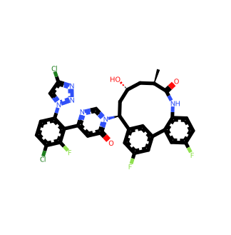 C[C@@H]1C[C@@H](O)C[C@H](n2cnc(-c3c(-n4cc(Cl)nn4)ccc(Cl)c3F)cc2=O)c2cc(F)cc(c2)-c2cc(F)ccc2NC1=O